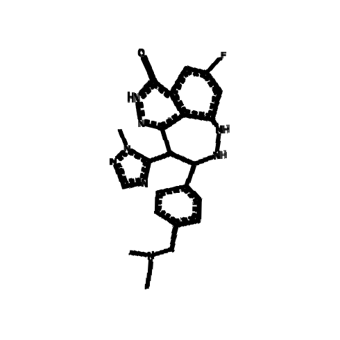 CN(C)Cc1ccc(C2NNc3cc(F)cc4c(=O)[nH]nc(c34)C2c2ncnn2C)cc1